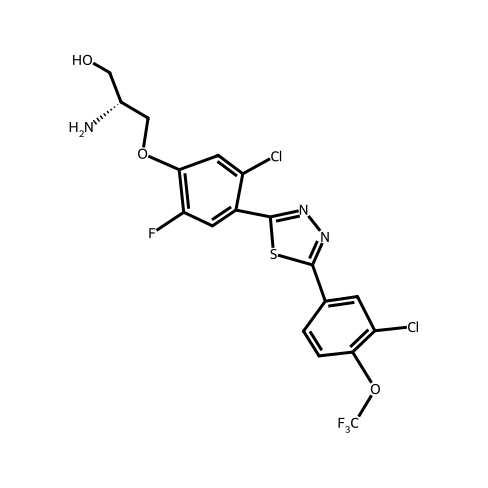 N[C@H](CO)COc1cc(Cl)c(-c2nnc(-c3ccc(OC(F)(F)F)c(Cl)c3)s2)cc1F